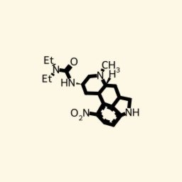 CCN(CC)C(=O)N[C@H]1CC2c3c([N+](=O)[O-])ccc4c3C(CN4)C[C@H]2N(C)C1